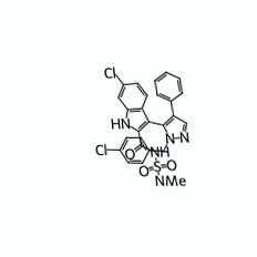 CNS(=O)(=O)NC(=O)c1[nH]c2cc(Cl)ccc2c1-c1c(-c2ccccc2)cnn1Cc1ccc(Cl)cc1